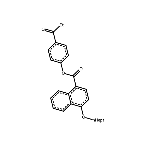 CCCCCCCOc1ccc(C(=O)Oc2ccc(C(=O)CC)cc2)c2ccccc12